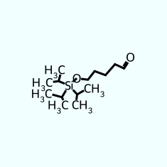 CC(C)[Si](OCCCCC=O)(C(C)C)C(C)C